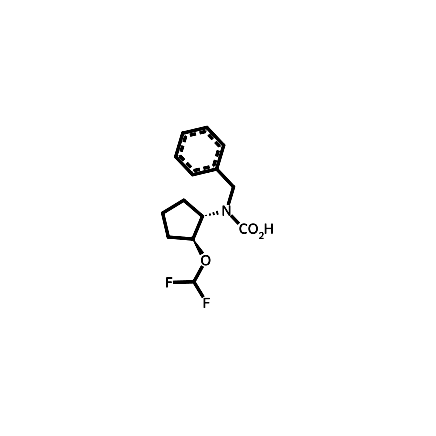 O=C(O)N(Cc1ccccc1)[C@H]1CCC[C@@H]1OC(F)F